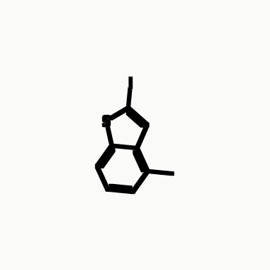 Cc1cccc2sc(I)cc12